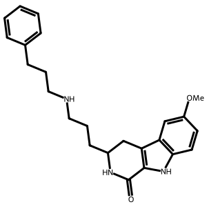 COc1ccc2[nH]c3c(c2c1)CC(CCCNCCCc1ccccc1)NC3=O